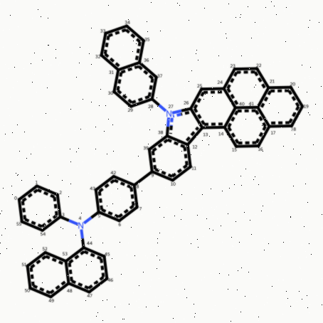 c1ccc(N(c2ccc(-c3ccc4c5c6ccc7cccc8ccc(cc5n(-c5ccc9ccccc9c5)c4c3)c6c87)cc2)c2cccc3ccccc23)cc1